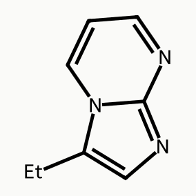 CCc1cnc2ncccn12